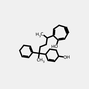 CC(CCC(C)(C1=CCCC=C1)C1C=CC(O)CC1)C1=CCC#CC=C1O